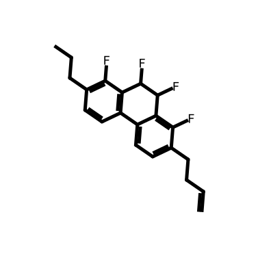 C=CCCc1ccc2c(c1F)C(F)C(F)c1c-2ccc(CCC)c1F